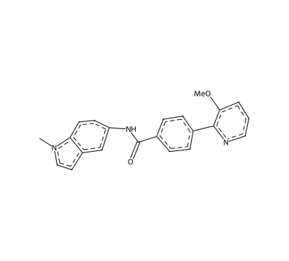 COc1cccnc1-c1ccc(C(=O)Nc2ccc3c(ccn3C)c2)cc1